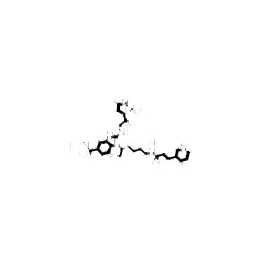 CCn1nc(C)cc1C(=O)CNc1nc2cc(C(N)=O)cc3c2n1[C@@H](CCCCNC(=O)/C=C/c1cccnc1)CO3